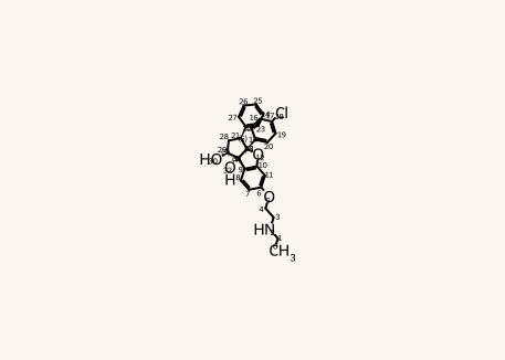 CCNCCOc1ccc2c(c1)O[C@@]1(c3ccc(Cl)cc3)[C@H](c3ccccc3)C[C@H](O)[C@@]21O